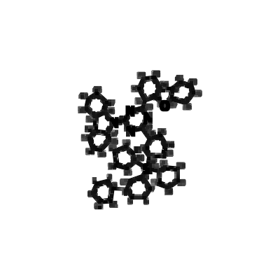 c1ccc(-c2cccc([Si](c3ccccc3)(c3ccccc3)c3cccc(-c4nc(-c5cccc6c5oc5ccccc56)nc(-n5c6ccccc6c6ccccc65)n4)c3)c2)cc1